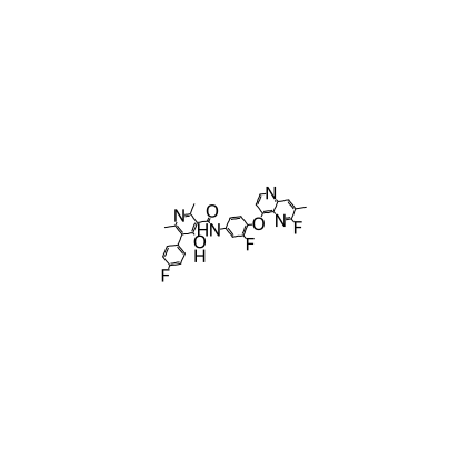 Cc1cc2nccc(Oc3ccc(NC(=O)c4c(C)nc(C)c(-c5ccc(F)cc5)c4O)cc3F)c2nc1F